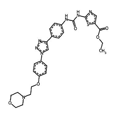 CCOC(=O)c1cnc(NC(=O)Nc2ccc(-c3cn(-c4ccc(OCCN5CCOCC5)cc4)nn3)cc2)s1